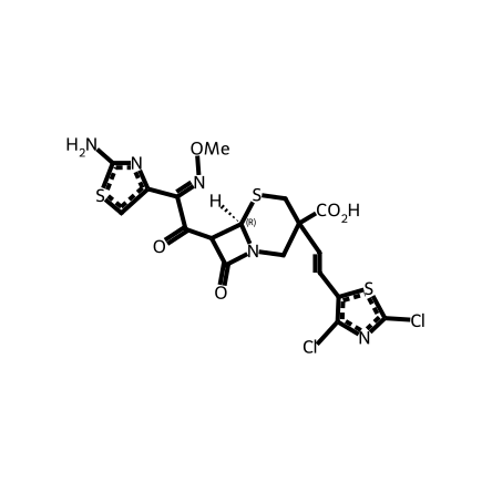 CON=C(C(=O)C1C(=O)N2CC(C=Cc3sc(Cl)nc3Cl)(C(=O)O)CS[C@H]12)c1csc(N)n1